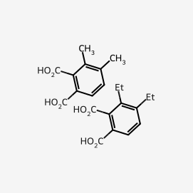 CCc1ccc(C(=O)O)c(C(=O)O)c1CC.Cc1ccc(C(=O)O)c(C(=O)O)c1C